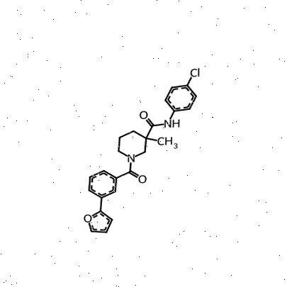 CC1(C(=O)Nc2ccc(Cl)cc2)CCCN(C(=O)c2cccc(-c3ccco3)c2)C1